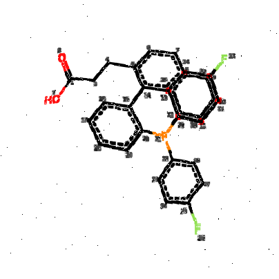 O=C(O)CCc1ccc2ccccc2c1-c1ccccc1P(c1ccc(F)cc1)c1ccc(F)cc1